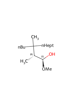 CCCCCCCC(C)(CCCC)[C@@H](C)[C@@H](O)OC